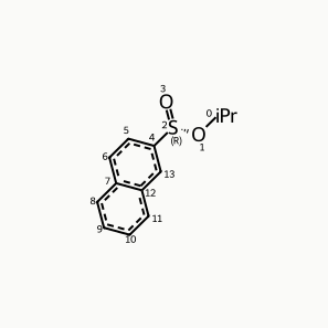 CC(C)O[S@@](=O)c1ccc2ccccc2c1